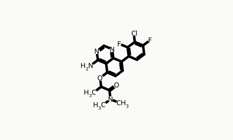 CC(Oc1ccc(-c2ccc(F)c(Cl)c2F)c2ncnc(N)c12)C(=O)N(C)C